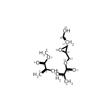 C=C(C)C(=O)OC.C=C(C)C(=O)OCC1CO1.C=CO